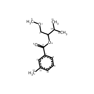 COCC(OC(=O)c1cccc(C)c1)C(C)C